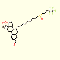 C[C@]12CCC3c4ccc(C=O)cc4C[C@@H](CCCCCCCCC[S+]([O-])CCCC(F)(F)C(F)(F)F)C3C1CC[C@@H]2O